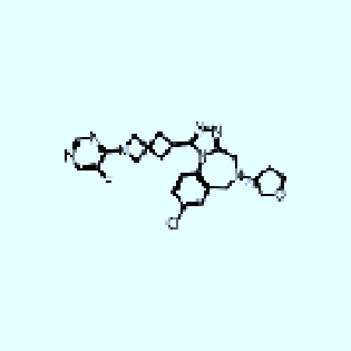 Fc1cncnc1N1CC2(CC(c3nnc4n3-c3ccc(Cl)cc3CN([C@H]3CCOC3)C4)C2)C1